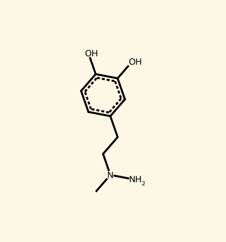 CN(N)CCc1ccc(O)c(O)c1